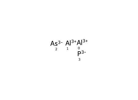 [Al+3].[Al+3].[As-3].[P-3]